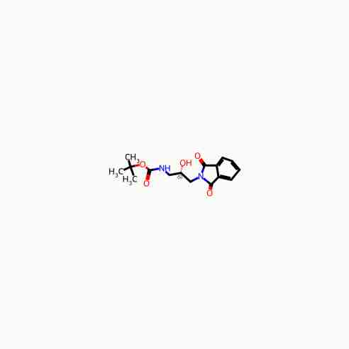 CC(C)(C)OC(=O)NC[C@H](O)CN1C(=O)c2ccccc2C1=O